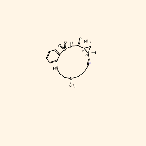 CN1CC/C=C\[C@@H]2C[C@]2(N)C(=O)NS(=O)(=O)c2ccccc2NCC1